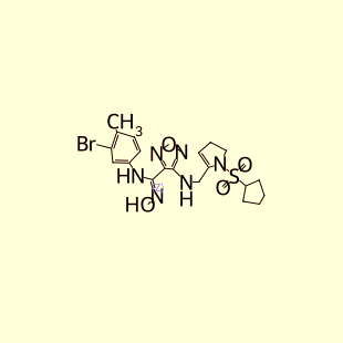 Cc1ccc(N/C(=N\O)c2nonc2NCC2=CCCN2S(=O)(=O)C2CCCC2)cc1Br